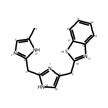 Cc1cnc(Cc2nc(Cc3nc4ccccc4s3)c[nH]2)[nH]1